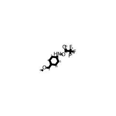 COCC1CCC(NOC(=O)C(F)(F)F)CC1